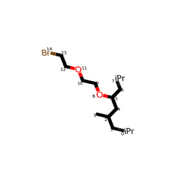 CC(C)CC(C)CC(CC(C)C)OCCOCCBr